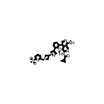 CNc1ncc(-c2cccc(-c3cnn(C4CN(Cc5cccc(S(C)(=O)=O)n5)C4)c3)c2OC)c2cc(NC(=O)C3CC3)ncc12